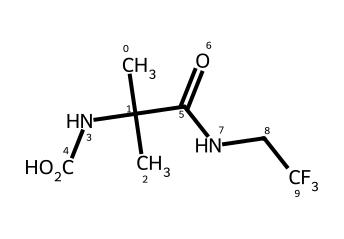 CC(C)(NC(=O)O)C(=O)NCC(F)(F)F